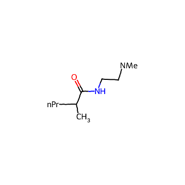 CCCC(C)C(=O)NCCNC